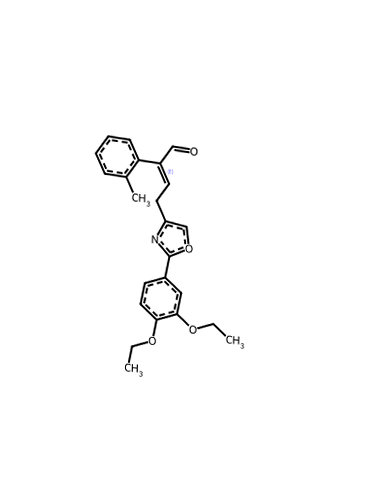 CCOc1ccc(-c2nc(C/C=C(/C=O)c3ccccc3C)co2)cc1OCC